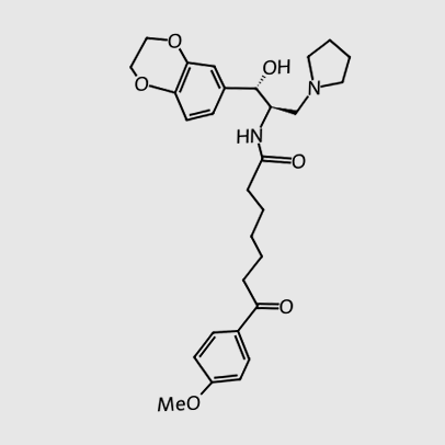 COc1ccc(C(=O)CCCCCC(=O)N[C@H](CN2CCCC2)[C@@H](O)c2ccc3c(c2)OCCO3)cc1